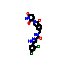 O=C1CCC(N2Cc3cc(CNC(=O)c4cc(-c5ccc(Cl)cc5Cl)[nH]n4)ccc3C2=O)C(=O)N1